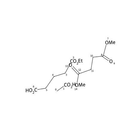 CC(=O)O.CCOC(=O)CCCC(=O)O.COC(=O)CCC(=O)OC